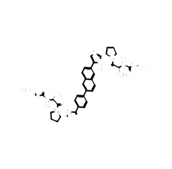 COC(=O)N[C@@H](C)C(=O)N1CCC[C@H]1CNC(=O)c1ccc(-c2ccc3cc(-c4cnc([C@@H]5CCCN5C(=O)[C@H](C)NC(=O)OC)[nH]4)ccc3c2)cc1